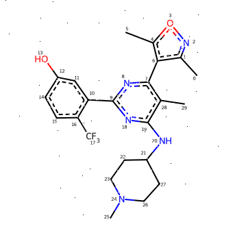 Cc1noc(C)c1-c1nc(-c2cc(O)ccc2C(F)(F)F)nc(NC2CCN(C)CC2)c1C